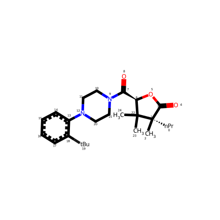 CCC[C@@]1(C)C(=O)O[C@H](C(=O)N2CCN(c3ccccc3C(C)(C)C)CC2)C1(C)C